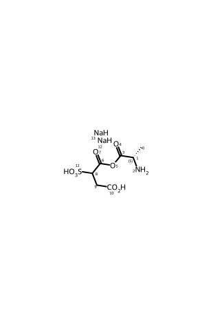 C[C@H](N)C(=O)OC(=O)C(CC(=O)O)S(=O)(=O)O.[NaH].[NaH]